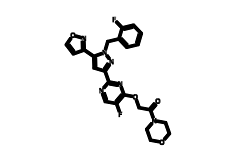 O=C(COc1nc(-c2cc(-c3ccon3)n(Cc3ccccc3F)n2)ncc1F)N1CCOCC1